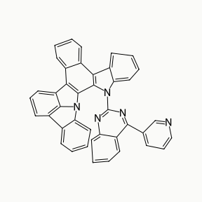 c1cncc(-c2nc(-n3c4ccccc4c4c5ccccc5c5c6cccc7c8ccccc8n(c76)c5c43)nc3ccccc23)c1